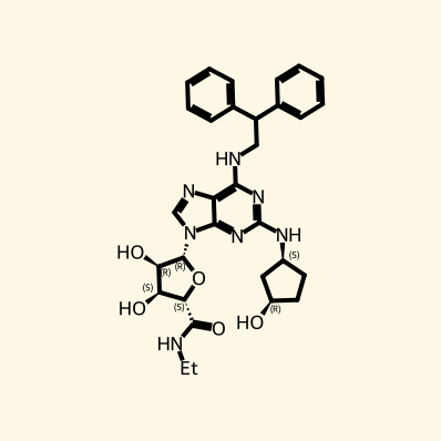 CCNC(=O)[C@H]1O[C@@H](n2cnc3c(NCC(c4ccccc4)c4ccccc4)nc(N[C@H]4CC[C@@H](O)C4)nc32)[C@H](O)[C@@H]1O